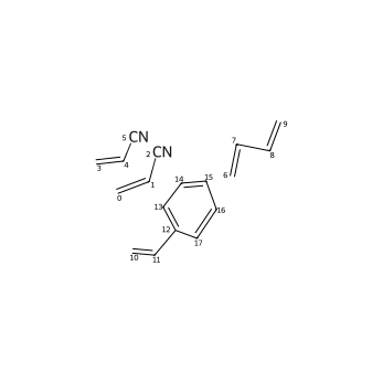 C=CC#N.C=CC#N.C=CC=C.C=Cc1ccccc1